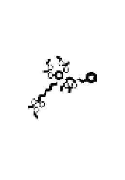 CCOC(C)OC(=O)CCC/C=C/C[C@@H]1[C@@H](/C=C/[C@H](CCc2ccccc2)OC(C)OCC)[C@H](OC(C)OCC)C[C@@H]1OC(C)OCC